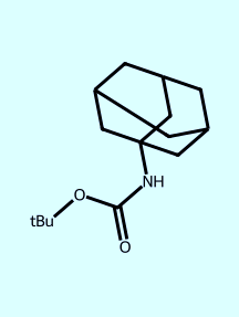 CC(C)(C)OC(=O)NC12CC3CC(CC(C3)C1)C2